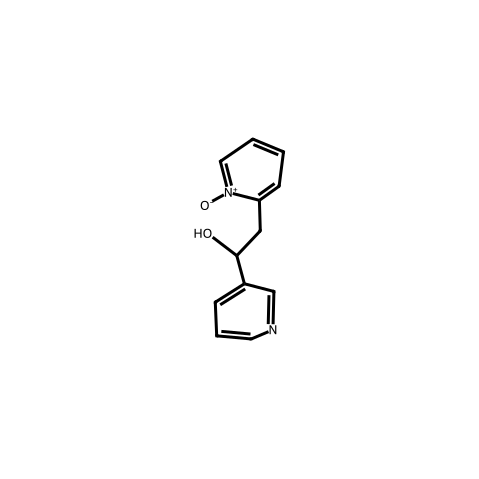 [O-][n+]1ccccc1CC(O)c1cccnc1